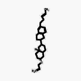 C=CCO[C@@H]1CC[C@@H]2CC(C3CCc4cc(CC/C=C/C)ccc4C3)CCC2C1